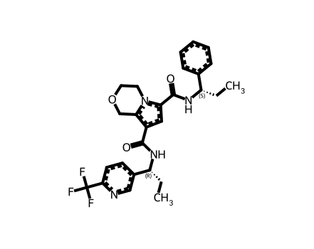 CC[C@H](NC(=O)c1cc(C(=O)N[C@H](CC)c2ccc(C(F)(F)F)nc2)c2n1CCOC2)c1ccccc1